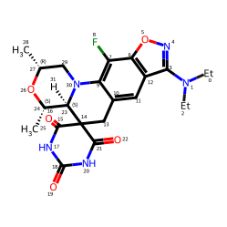 CCN(CC)c1noc2c(F)c3c(cc12)CC1(C(=O)NC(=O)NC1=O)[C@H]1[C@H](C)O[C@H](C)CN31